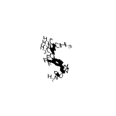 CC(C)CC(C)(N)COc1ccc(-c2cc(OC(N)=O)ncn2)cc1C(F)(F)F